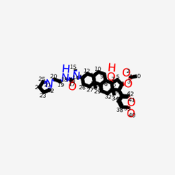 CC(=O)OC1CC2(O)C3CCC4CC(N(C)C(=O)NCCN5CCCC5)CCC4(C)C3CCC2(C)C1c1ccc(=O)oc1